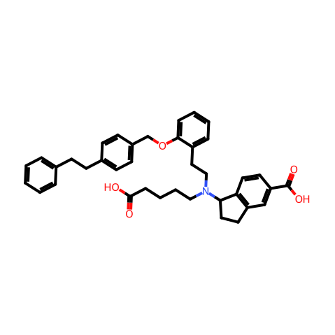 O=C(O)CCCCN(CCc1ccccc1OCc1ccc(CCc2ccccc2)cc1)C1CCc2cc(C(=O)O)ccc21